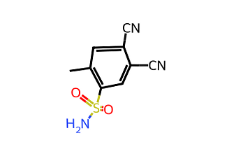 Cc1cc(C#N)c(C#N)cc1S(N)(=O)=O